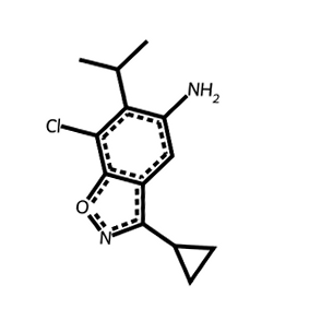 CC(C)c1c(N)cc2c(C3CC3)noc2c1Cl